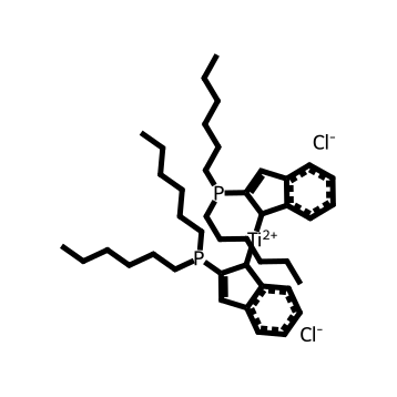 CCCCCCP(CCCCCC)C1=Cc2ccccc2[CH]1[Ti+2][CH]1C(P(CCCCCC)CCCCCC)=Cc2ccccc21.[Cl-].[Cl-]